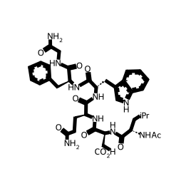 CC(=O)N[C@@H](CC(C)C)C(=O)N[C@@H](CC(=O)O)C(=O)N[C@@H](CCC(N)=O)C(=O)N[C@@H](Cc1c[nH]c2ccccc12)C(=O)N[C@@H](Cc1ccccc1)C(=O)NCC(N)=O